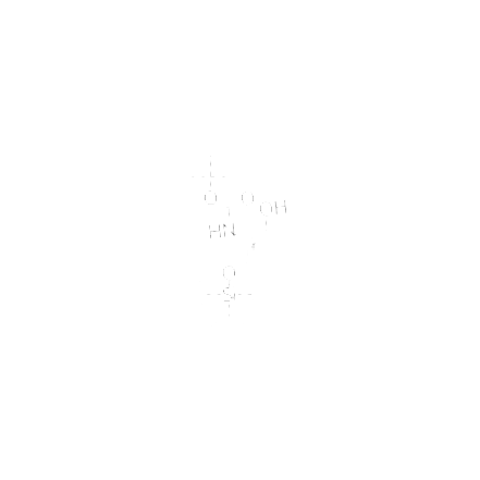 CC(C)[Si](OC[C@@H](CO)NC(=O)OC(C)(C)C)(C(C)C)C(C)C